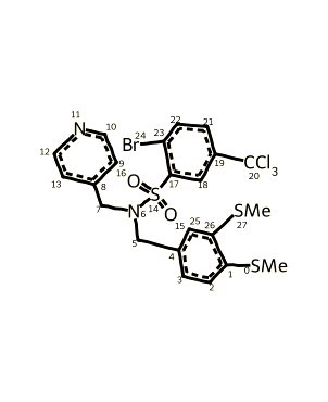 CSc1ccc(CN(Cc2ccncc2)S(=O)(=O)c2cc(C(Cl)(Cl)Cl)ccc2Br)cc1SC